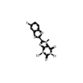 CCn1c(=O)c2c(nc(-c3nc4ccc(F)cc4s3)n2C)n(CC)c1=O